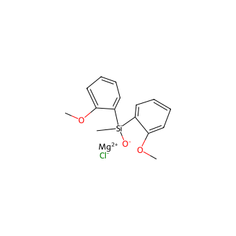 COc1ccccc1[Si](C)([O-])c1ccccc1OC.[Cl-].[Mg+2]